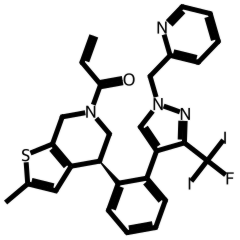 C=CC(=O)N1Cc2sc(C)cc2[C@H](c2ccccc2-c2cn(Cc3ccccn3)nc2C(F)(I)I)C1